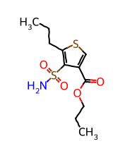 CCCOC(=O)c1csc(CCC)c1S(N)(=O)=O